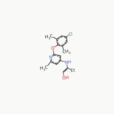 CCC(=CO)Nc1cc(C)nc(Oc2c(C)cc(Cl)cc2C)c1